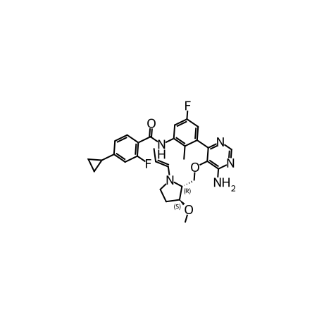 CC=CN1CC[C@H](OC)[C@H]1COc1c(N)ncnc1-c1cc(F)cc(NC(=O)c2ccc(C3CC3)cc2F)c1C